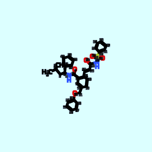 CC(C)CC(NC(=O)c1cc(COc2ccccc2)ccc1C=CC(=O)NS(=O)(=O)c1ccccc1)c1ccccc1